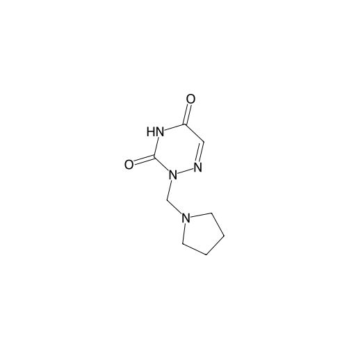 O=c1cnn(CN2CCCC2)c(=O)[nH]1